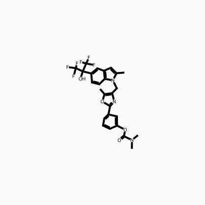 Cc1oc(-c2cccc(OC(=O)N(C)C)c2)nc1Cn1c(C)cc2cc(C(O)(C(F)(F)F)C(F)(F)F)ccc21